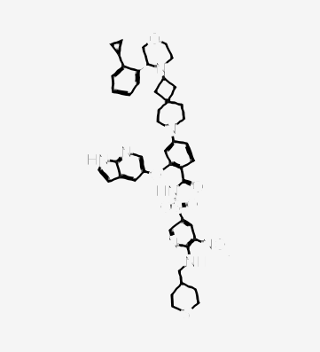 O=C(NS(=O)(=O)c1cnc(NCC2CCSCC2)c([N+](=O)[O-])c1)c1ccc(N2CCC3(CC2)CC(N2CCOC[C@@H]2c2ccccc2C2CC2)C3)cc1Oc1cnc2[nH]ccc2c1